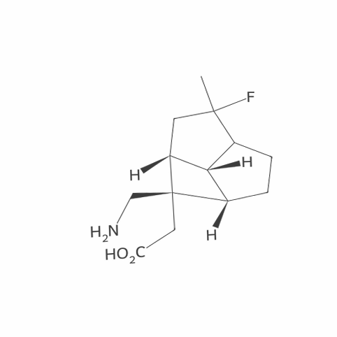 CC1(F)C[C@@H]2[C@@H]3C1CC[C@@H]3[C@]2(CN)CC(=O)O